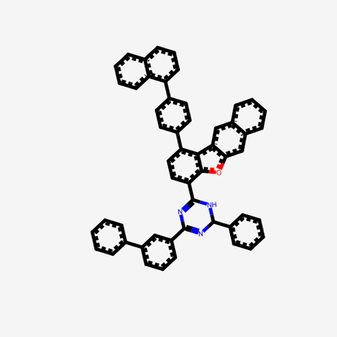 c1ccc(-c2cccc(C3=NC(c4ccccc4)NC(c4ccc(-c5ccc(-c6cccc7ccccc67)cc5)c5c4oc4cc6ccccc6cc45)=N3)c2)cc1